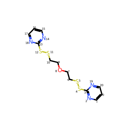 c1cnc(SSCCOCCSSc2ncccn2)nc1